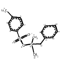 Cc1ccc(S(=O)(=O)OS(C)(C)Cc2ccccc2)cc1